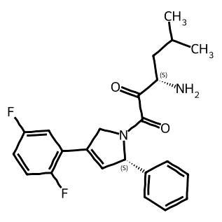 CC(C)C[C@H](N)C(=O)C(=O)N1CC(c2cc(F)ccc2F)=C[C@H]1c1ccccc1